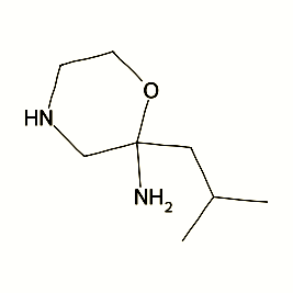 CC(C)CC1(N)CNCCO1